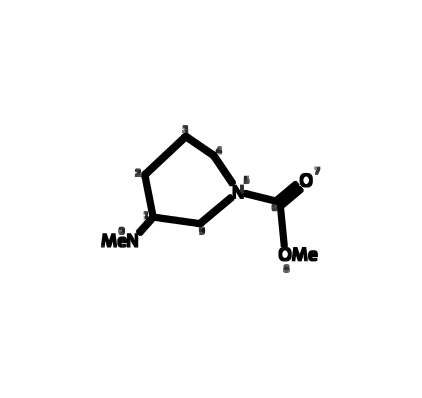 CNC1CCCN(C(=O)OC)C1